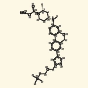 C[C@@H]1C[C@H](N(C)c2ccc3c(c2)OCc2cc(-c4cnn(COCC[Si](C)(C)C)c4)ccc2-3)CCN1C(=O)OC(C)(C)C